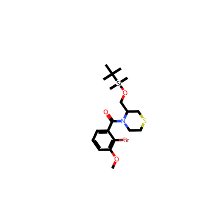 COc1cccc(C(=O)N2CCSCC2CO[Si](C)(C)C(C)(C)C)c1Br